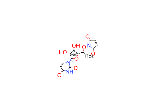 CCCCC(ON1C(=O)C=CC1=O)[C@H]1O[C@@H](n2ccc(=O)[nH]c2=O)[C@H](O)[C@@H]1O